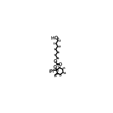 CC(C)[C@@]1(OC(=O)OCCCCCCCO)CCCCC1C